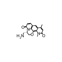 Cc1cc(=O)n(C)c2c3c4c(ccc(=O)n4[C@@H](CN)CO3)cc12